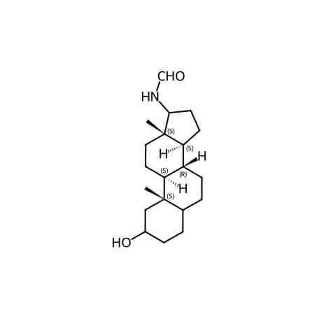 C[C@]12CC(O)CCC1CC[C@@H]1[C@@H]2CC[C@]2(C)C(NC=O)CC[C@@H]12